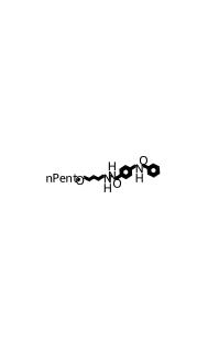 CCCCCOCCCCCNNC(=O)c1ccc(CNC(=O)c2ccccc2)cc1